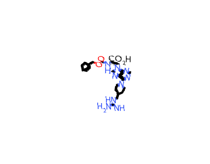 N=C(N)NCC1CCN(c2ncnc3c2ncn3C[C@H](NC(=O)OCc2ccccc2)C(=O)O)CC1